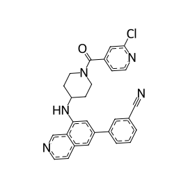 N#Cc1cccc(-c2cc(NC3CCN(C(=O)c4ccnc(Cl)c4)CC3)c3cnccc3c2)c1